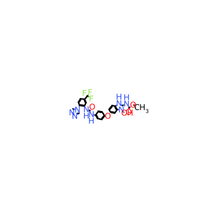 COC(=O)NC1Nc2ccc(Oc3ccc(NC(=O)Nc4cc(C(F)(F)F)ccc4-n4cnnc4)cc3)cc2N1O